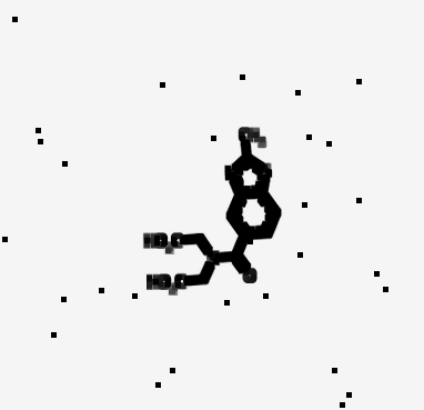 Cc1nc2cc(C(=O)N(CC(=O)O)CC(=O)O)ccc2s1